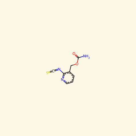 NC(=O)OCc1cccnc1N=C=S